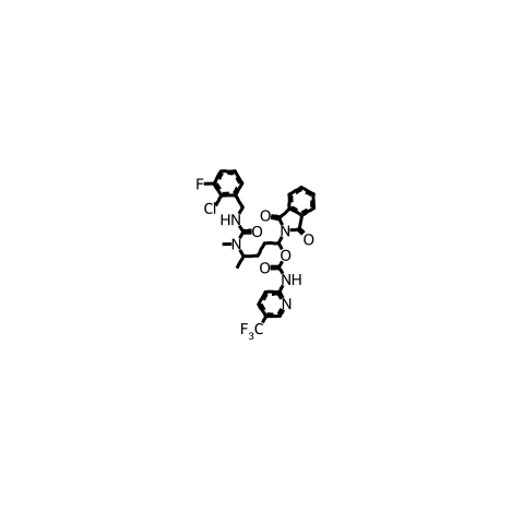 CC(CCC(OC(=O)Nc1ccc(C(F)(F)F)cn1)N1C(=O)c2ccccc2C1=O)N(C)C(=O)NCc1cccc(F)c1Cl